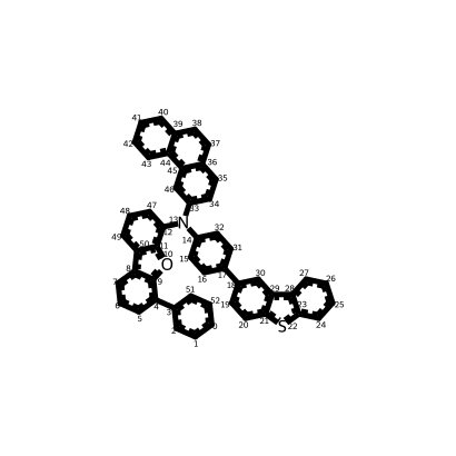 c1ccc(-c2cccc3c2oc2c(N(c4ccc(-c5ccc6sc7ccccc7c6c5)cc4)c4ccc5ccc6ccccc6c5c4)cccc23)cc1